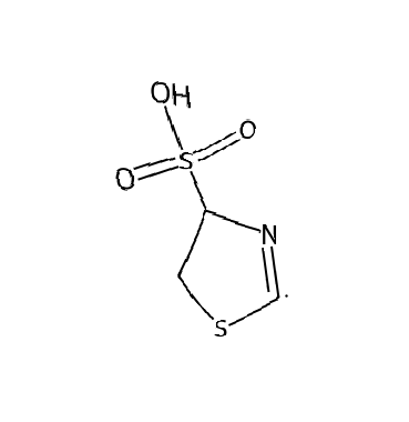 O=S(=O)(O)C1CS[C]=N1